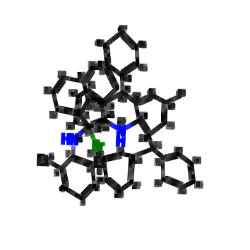 CCc1cccc(CC)c1NC1(Br)c2cccc3cccc(c23)C1Nc1c(C(c2ccccc2)c2ccccc2)cc(C)cc1C(c1ccccc1)c1ccccc1